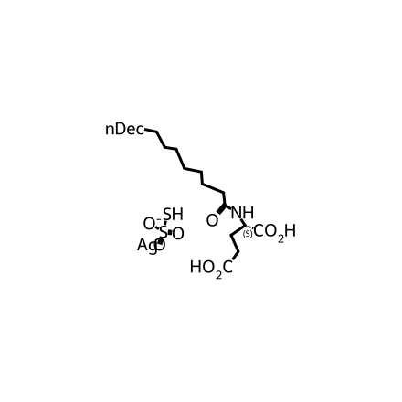 CCCCCCCCCCCCCCCCCC(=O)N[C@@H](CCC(=O)O)C(=O)O.O=S(=O)([O-])S.[Ag+]